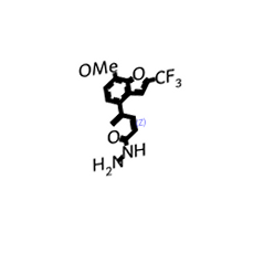 C=C(/C=C\C(=O)NN)c1ccc(OC)c2oc(C(F)(F)F)cc12